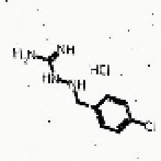 Cl.N=C(N)NNCc1ccc(Cl)cc1